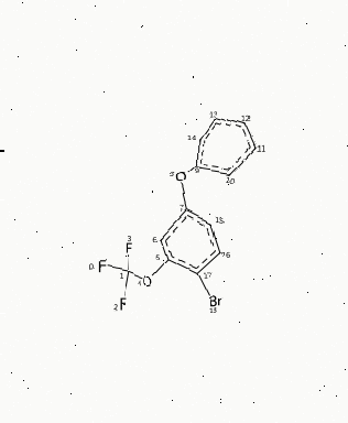 FC(F)(F)Oc1cc(Oc2ccccc2)ccc1Br